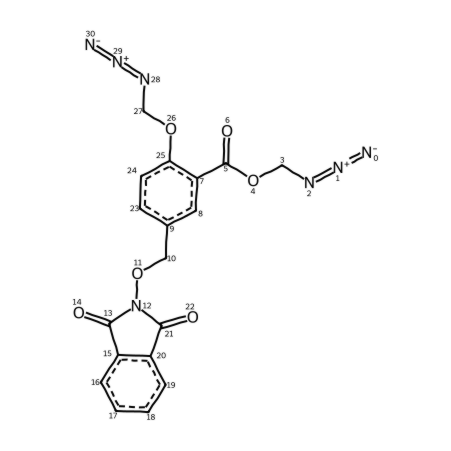 [N-]=[N+]=NCOC(=O)c1cc(CON2C(=O)c3ccccc3C2=O)ccc1OCN=[N+]=[N-]